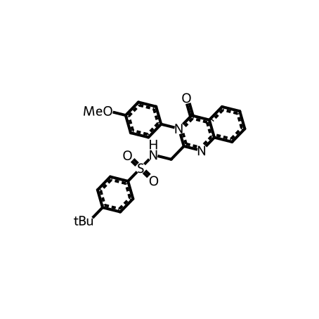 COc1ccc(-n2c(CNS(=O)(=O)c3ccc(C(C)(C)C)cc3)nc3ccccc3c2=O)cc1